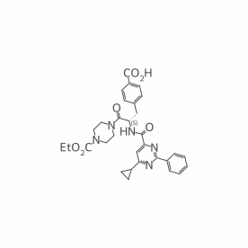 CCOC(=O)N1CCN(C(=O)[C@H](Cc2ccc(C(=O)O)cc2)NC(=O)c2cc(C3CC3)nc(-c3ccccc3)n2)CC1